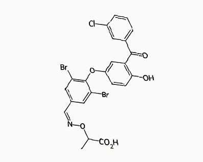 CC(O/N=C\c1cc(Br)c(Oc2ccc(O)c(C(=O)c3cccc(Cl)c3)c2)c(Br)c1)C(=O)O